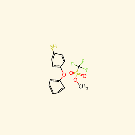 COS(=O)(=O)C(F)(F)F.Sc1ccc(Oc2ccccc2)cc1